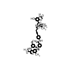 COc1cccc(Nc2c(C(N)=O)cnc3c(C)cc(S(=O)(=O)c4cccc(C(=O)Nc5ccc(C#CCCCNCC(O[Si](C)(C)C(C)(C)C)c6cc(O)cc7c6OCC(=O)N7)cc5)c4)cc23)c1